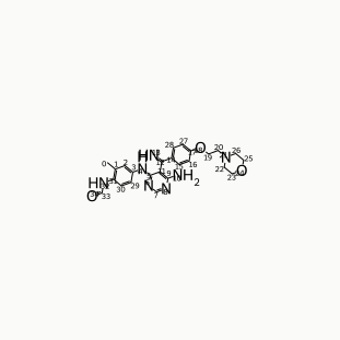 Cc1cc(Nc2ncnc(N)c2C(=N)c2ccc(OCCN3CCOCC3)cc2)ccc1NC=O